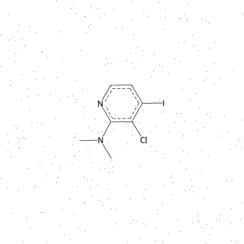 CN(C)c1nccc(I)c1Cl